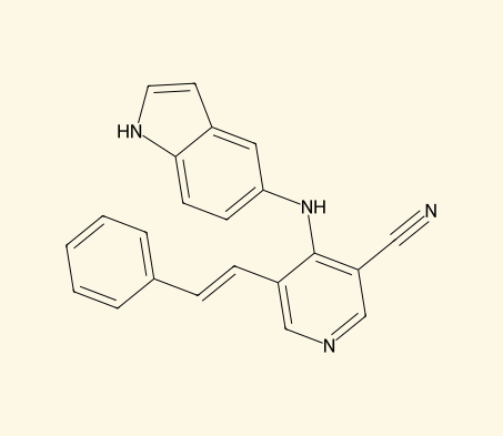 N#Cc1cncc(C=Cc2ccccc2)c1Nc1ccc2[nH]ccc2c1